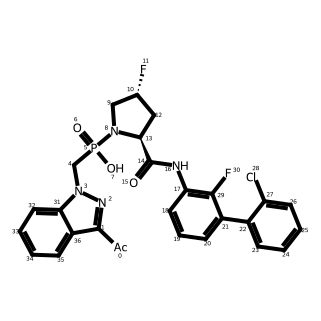 CC(=O)c1nn(CP(=O)(O)N2C[C@H](F)C[C@H]2C(=O)Nc2cccc(-c3ccccc3Cl)c2F)c2ccccc12